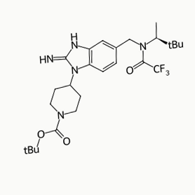 C[C@H](N(Cc1ccc2c(c1)[nH]c(=N)n2C1CCN(C(=O)OC(C)(C)C)CC1)C(=O)C(F)(F)F)C(C)(C)C